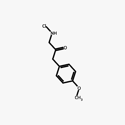 COc1ccc(CC(=O)CNCl)cc1